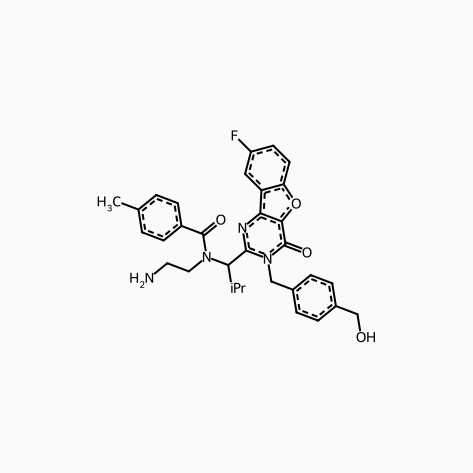 Cc1ccc(C(=O)N(CCN)C(c2nc3c(oc4ccc(F)cc43)c(=O)n2Cc2ccc(CO)cc2)C(C)C)cc1